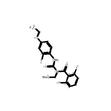 COCN(C(=O)Nc1ccc(SCC(F)(F)F)cc1F)C(=O)c1c(F)cccc1F